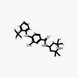 CC1(C)CC(NC(=O)c2ccc(Oc3ccccc3C(C)(C)C)c(Cl)c2)CC(C)(C)N1